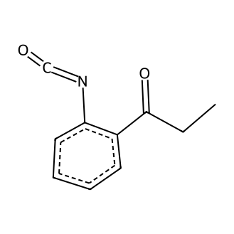 CCC(=O)c1ccccc1N=C=O